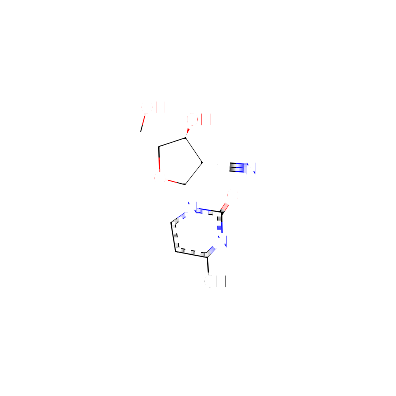 Cc1ccn([C@@H]2O[C@H](CO)[C@@H](O)[C@@H]2C#N)c(=O)n1